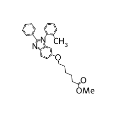 COC(=O)CCCCCOc1ccc2nc(-c3ccccc3)n(-c3ccccc3C)c2c1